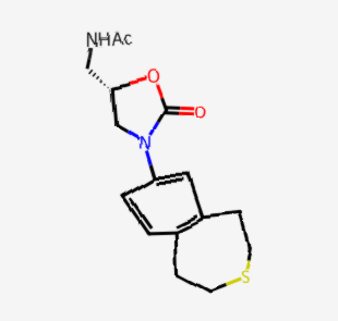 CC(=O)NC[C@H]1CN(c2ccc3c(c2)CCSCC3)C(=O)O1